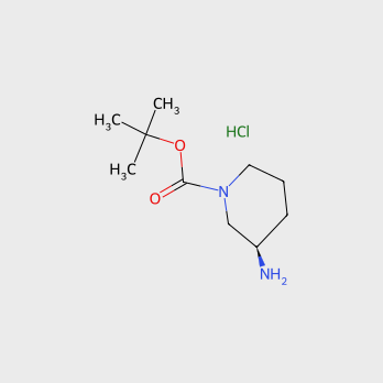 CC(C)(C)OC(=O)N1CCC[C@@H](N)C1.Cl